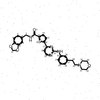 O=C(NCc1ccc2c(c1)OCO2)c1ccc(-c2ccnc(Nc3cccc(CCN4CCOCC4)c3)n2)s1